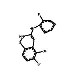 Oc1c(Br)ccc2c1N=C(Nc1ccccc1F)NS2